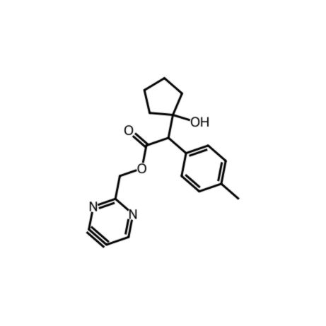 Cc1ccc(C(C(=O)OCc2nc#ccn2)C2(O)CCCC2)cc1